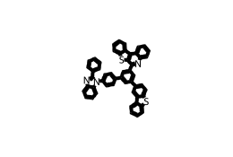 c1ccc(-c2nc3ccccc3n2-c2ccc(-c3cc(-c4ccc5sc6ccccc6c5c4)cc(-c4nc5ccccc5c5c4sc4ccccc45)c3)cc2)cc1